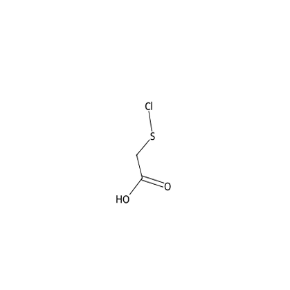 O=C(O)CSCl